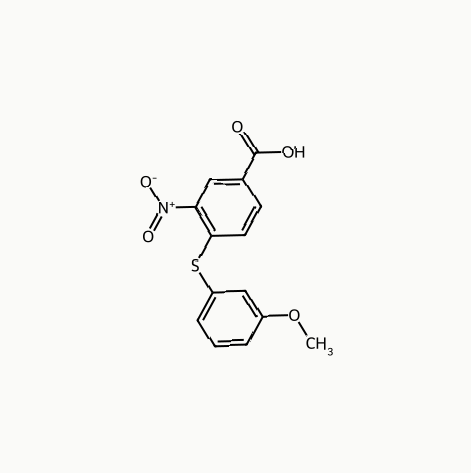 COc1cccc(Sc2ccc(C(=O)O)cc2[N+](=O)[O-])c1